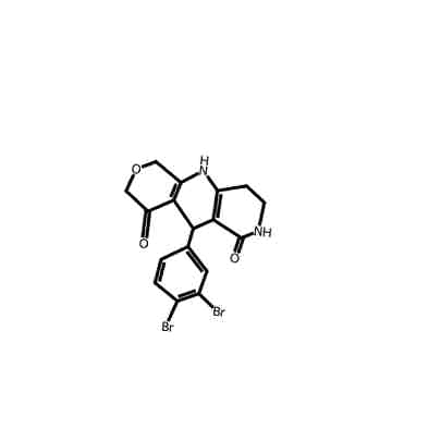 O=C1COCC2=C1C(c1ccc(Br)c(Br)c1)C1=C(CCNC1=O)N2